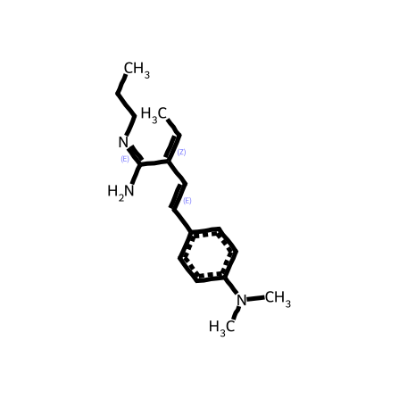 C/C=C(/C=C/c1ccc(N(C)C)cc1)C(\N)=N/CCC